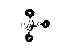 NC(CO[C]12[CH]3[CH]4[CH]5[CH]1[Fe]45321678[CH]2[CH]1[CH]6[CH]7[CH]28)(CO[C]12[CH]3[CH]4[CH]5[CH]1[Fe]45321678[CH]2[CH]1[CH]6[CH]7[CH]28)CO[C]12[CH]3[CH]4[CH]5[CH]1[Fe]45321678[CH]2[CH]1[CH]6[CH]7[CH]28